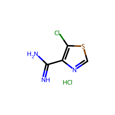 Cl.N=C(N)c1ncsc1Cl